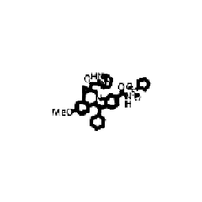 COc1ccc2c(c1)C1CC1(C(=O)N1CC3CCC1CN3)Cn1c-2c(C2CCCCC2)c2ccc(C(=O)NS(=O)(=O)C3CCCC3)cc21